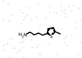 Cc1ccc(CCCCN)s1